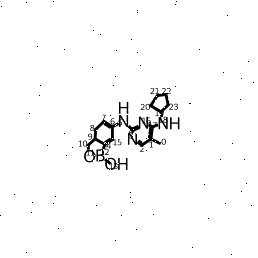 Cc1cnc(NC2=CCC3COB(O)C3=C2)nc1NC1CCCC1